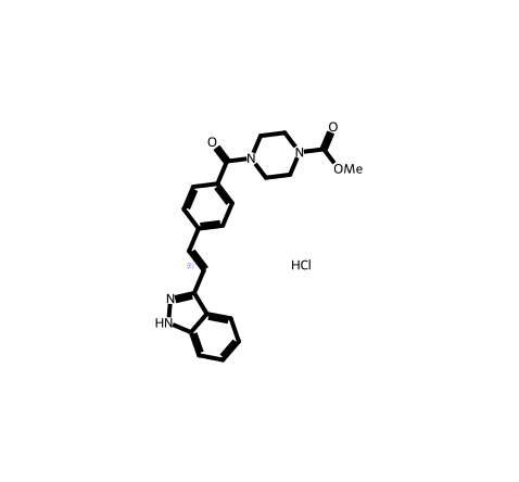 COC(=O)N1CCN(C(=O)c2ccc(/C=C/c3n[nH]c4ccccc34)cc2)CC1.Cl